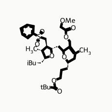 CC[C@@H](C)C[C@H]1O[C@@H](CC2O[C@@H](CCCOC(=O)C(C)(C)C)CC(C)=C2COC(=O)COC)[C@H](CS(=O)(=O)c2ccccc2)[C@H]1C